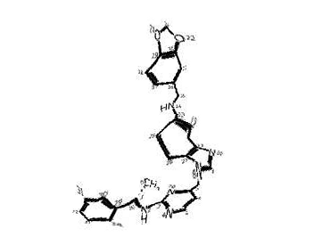 C[C@H](Nc1nccc(-n2cnc3cc(NCc4ccc5c(c4)OCO5)ccc32)n1)c1ccccc1